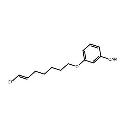 CCC=CCCCCCOc1cccc(OC)c1